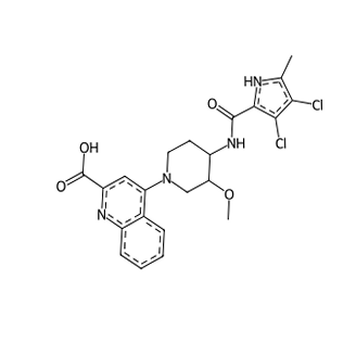 COC1CN(c2cc(C(=O)O)nc3ccccc23)CCC1NC(=O)c1[nH]c(C)c(Cl)c1Cl